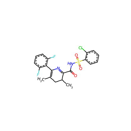 CC1=C(c2c(F)cccc2F)N=C(C(=O)NS(=O)(=O)c2ccccc2Cl)C(C)C1